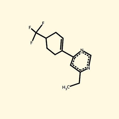 CCc1cc(C2=CCC(C(F)(F)F)CC2)ncn1